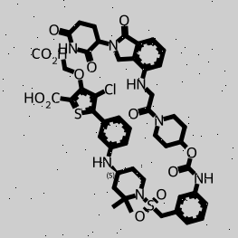 CC1(C)C[C@@H](Nc2cccc(-c3sc(C(=O)O)c(OCC(=O)O)c3Cl)c2)CCN1S(=O)(=O)Cc1cccc(NC(=O)OC2CCN(C(=O)CNc3cccc4c3CN(C3CCC(=O)NC3=O)C4=O)CC2)c1